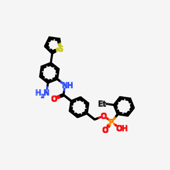 CCc1ccccc1P(=O)(O)OCc1ccc(C(=O)Nc2cc(-c3cccs3)ccc2N)cc1